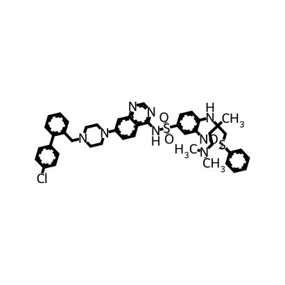 CN(C)CCC(C)(CSc1ccccc1)Nc1ccc(S(=O)(=O)Nc2ncnc3cc(N4CCN(Cc5ccccc5-c5ccc(Cl)cc5)CC4)ccc23)cc1[N+](=O)[O-]